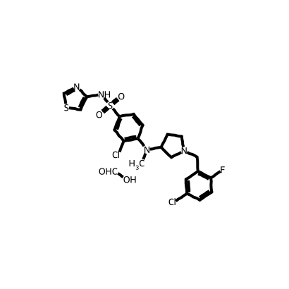 CN(c1ccc(S(=O)(=O)Nc2cscn2)cc1Cl)C1CCN(Cc2cc(Cl)ccc2F)C1.O=CO